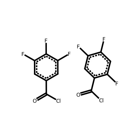 O=C(Cl)c1cc(F)c(F)c(F)c1.O=C(Cl)c1cc(F)c(F)cc1F